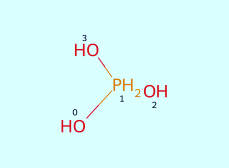 O[PH2](O)O